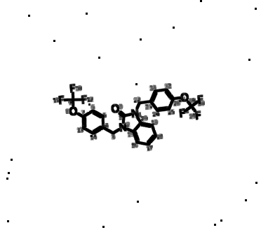 O=c1n(Cc2ccc(OC(F)(F)F)cc2)c2ccccc2n1Cc1ccc(OC(F)(F)F)cc1